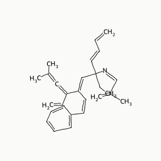 C=C/C=C/C(/C=C(\C=C/c1ccccc1)C(=C=C(C)C)C=C)(CC)/N=C\C(=C)C